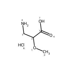 COC(CN)C(=O)O.Cl